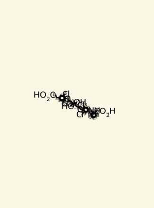 O=C(O)CCc1cc(Cl)c(OCCC(O)C(O)CCOc2c(Cl)cc(Nc3ncccc3C(=O)O)cc2Cl)c(Cl)c1